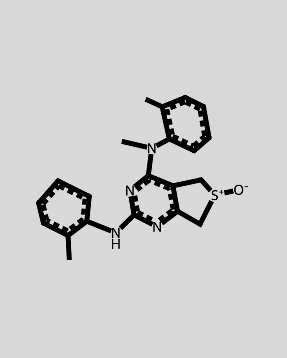 Cc1ccccc1Nc1nc2c(c(N(C)c3ccccc3C)n1)C[S+]([O-])C2